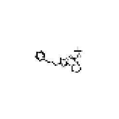 CC(C)(C)OC(=O)N1CCCC[C@H]1c1nc(CCCc2ccccc2)no1